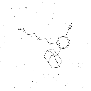 [C]#Cc1ccc(C23CC4CC(CC(C4)C2)C3)c(OCOCCOC)c1